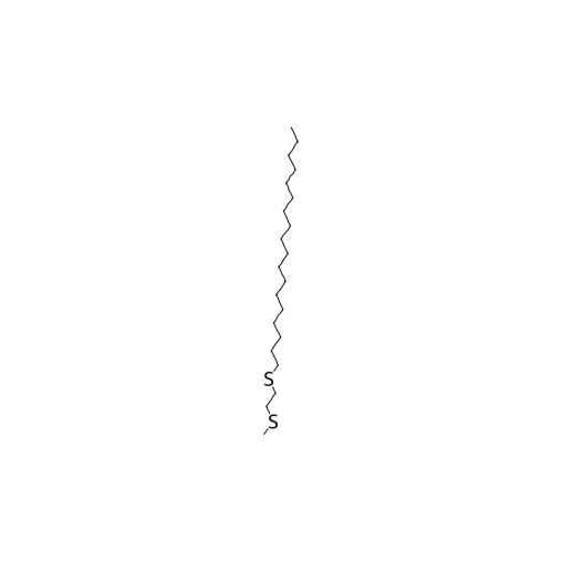 CCCCCCCCCCCCCCCCCCSCCSC